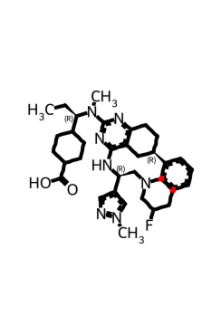 CC[C@H](C1CCC(C(=O)O)CC1)N(C)c1nc2c(c(N[C@@H](CN3CCCC(F)C3)c3cnn(C)c3)n1)C[C@H](c1ccccc1)CC2